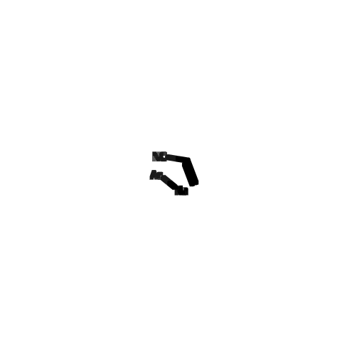 C=CC#N.C[C](=O)[Na]